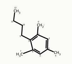 [CH2]c1cc(C)cc(C)c1CCCC